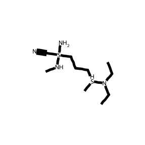 CCN(CC)[SH](C)CCCS(N)(C#N)NC